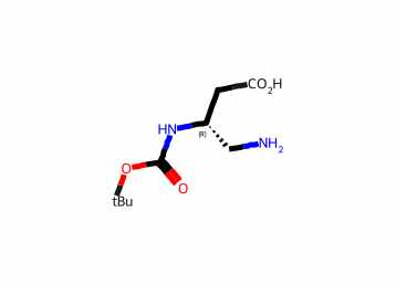 CC(C)(C)OC(=O)N[C@@H](CN)CC(=O)O